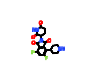 O=C1CCC(N2C(=O)c3c(F)cc(F)c(C4CCNCC4)c3C2=O)C(=O)N1